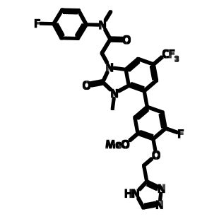 COc1cc(-c2cc(C(F)(F)F)cc3c2n(C)c(=O)n3CC(=O)N(C)c2ccc(F)cc2)cc(F)c1OCc1nnc[nH]1